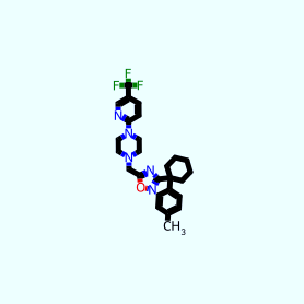 Cc1ccc(C2(c3noc(CN4CCN(c5ccc(C(F)(F)F)cn5)CC4)n3)CCCCC2)cc1